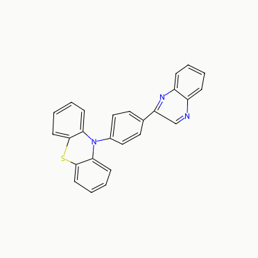 c1ccc2c(c1)Sc1ccccc1N2c1ccc(-c2cnc3ccccc3n2)cc1